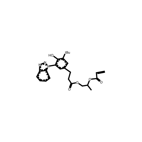 C=CC(=O)OC(C)COC(=O)CCc1cc(-n2nnc3ccccc32)c(O)c(C(C)(C)C)c1